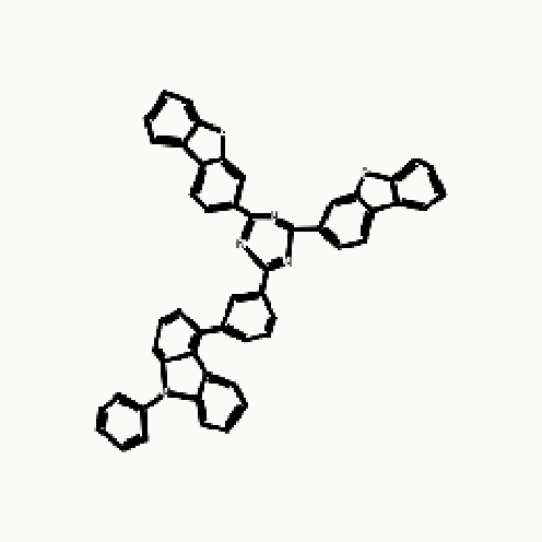 c1ccc(-n2c3ccccc3c3c(-c4cccc(-c5nc(-c6ccc7c(c6)sc6ccccc67)nc(-c6ccc7c(c6)sc6ccccc67)n5)c4)cccc32)cc1